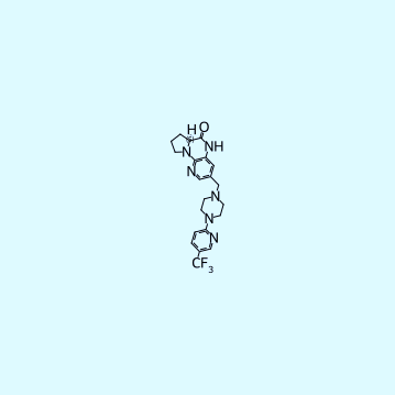 O=C1Nc2cc(CN3CCN(c4ccc(C(F)(F)F)cn4)CC3)cnc2N2CCC[C@@H]12